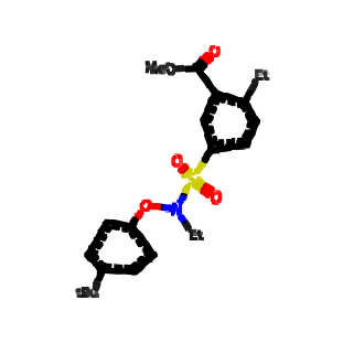 CCc1ccc(S(=O)(=O)N(CC)Oc2ccc(C(C)(C)C)cc2)cc1C(=O)OC